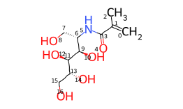 C=C(C)C(=O)N[C@@H](CO)[C@@H](O)[C@H](O)[C@H](O)CO